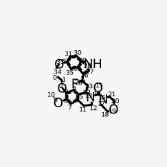 CCOc1cc2c(cc1OC)CCN(C(=O)N1CCOCC1)C2CC(F)c1c[nH]c2ccc(OC)cc12